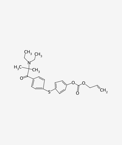 C=CCOC(=O)Oc1ccc(Sc2ccc(C(=O)C(C)(C)N(CC)CC)cc2)cc1